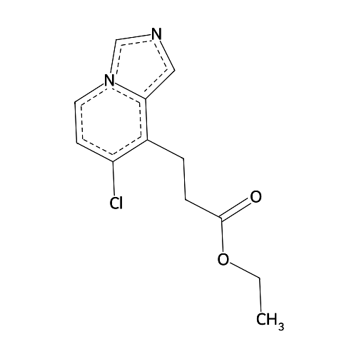 CCOC(=O)CCc1c(Cl)ccn2cncc12